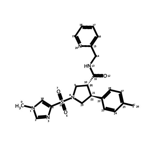 Cn1cnc(S(=O)(=O)N2C[C@H](C(=O)NCc3ccccn3)[C@@H](c3ccc(F)cc3)C2)c1